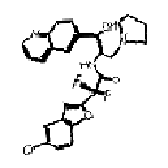 O=C(N[C@H](CN1CCCC1)[C@H](O)c1ccc2ncccc2c1)C(F)(F)c1cc2cc(Cl)ccc2o1